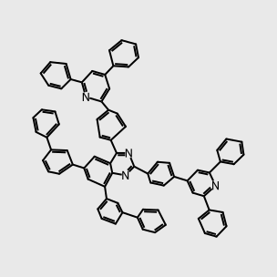 c1ccc(-c2cccc(-c3cc(-c4cccc(-c5ccccc5)c4)c4nc(-c5ccc(-c6cc(-c7ccccc7)nc(-c7ccccc7)c6)cc5)nc(-c5ccc(-c6cc(-c7ccccc7)cc(-c7ccccc7)n6)cc5)c4c3)c2)cc1